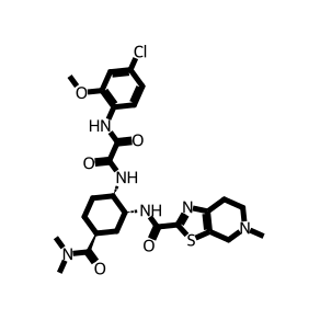 COc1cc(Cl)ccc1NC(=O)C(=O)N[C@H]1CC[C@H](C(=O)N(C)C)C[C@H]1NC(=O)c1nc2c(s1)CN(C)CC2